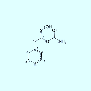 NC(=O)O[C@H](CO)Cc1cccnc1